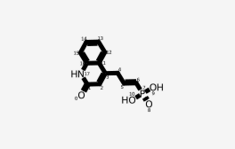 O=c1cc(CC=CP(=O)(O)O)c2ccccc2[nH]1